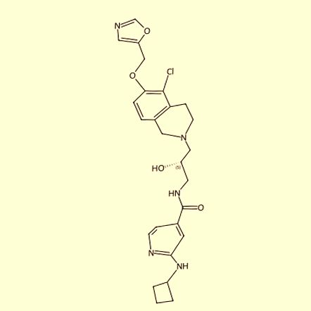 O=C(NC[C@H](O)CN1CCc2c(ccc(OCc3cnco3)c2Cl)C1)c1ccnc(NC2CCC2)c1